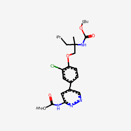 COC(=O)Nc1cc(-c2ccc(OCC(C)(CC(C)C)NC(=O)OC(C)(C)C)c(Cl)c2)cnn1